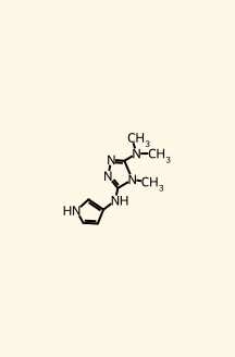 CN(C)c1nnc(Nc2cc[nH]c2)n1C